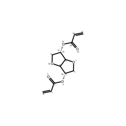 C=CC(=O)O[C@H]1COC2C1OC[C@@H]2OC(=O)C=C